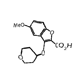 COc1ccc2oc(C(=O)O)c(OC3CCOCC3)c2c1